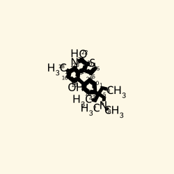 CCC(CC)(CN(C)C)c1ccc(-c2c(O)cc(C)c3[nH]c(=O)c4sccc4c23)cc1